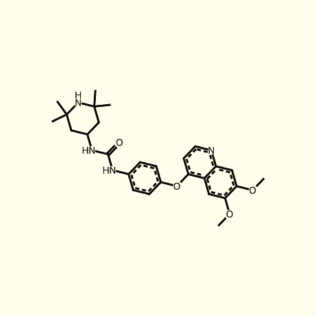 COc1cc2nccc(Oc3ccc(NC(=O)NC4CC(C)(C)NC(C)(C)C4)cc3)c2cc1OC